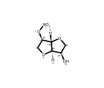 O=[N+]([O-])O[C@@H]1CO[C@H]2[C@H]1OC[C@H]2O